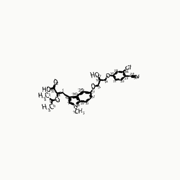 CC(C)OC(Cc1cn(C)c2ccc(OCC(O)COc3ccc(C#N)c(Cl)c3)cc12)C(=O)O